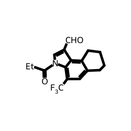 CCC(=O)n1cc(C=O)c2c3c(cc(C(F)(F)F)c21)CCCC3